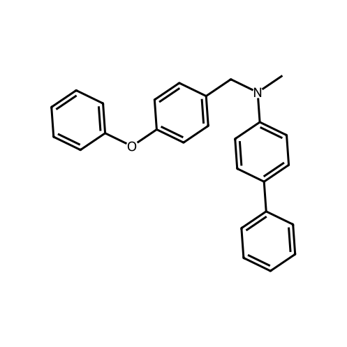 CN(Cc1ccc(Oc2ccccc2)cc1)c1ccc(-c2ccccc2)cc1